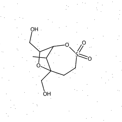 CC1C2OS(=O)(=O)CCC1(CO)OC2CO